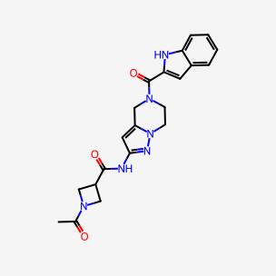 CC(=O)N1CC(C(=O)Nc2cc3n(n2)CCN(C(=O)c2cc4ccccc4[nH]2)C3)C1